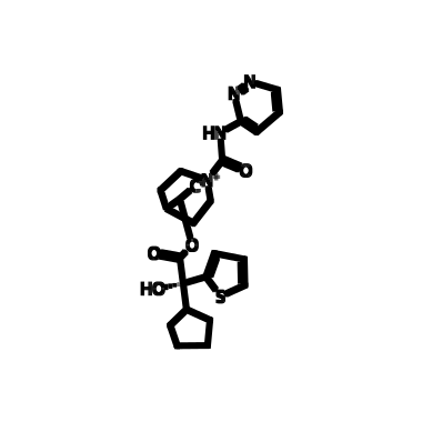 O=C(OC1C[N+]2(C(=O)Nc3cccnn3)CCC1CC2)[C@@](O)(c1cccs1)C1CCCC1